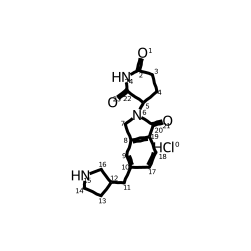 Cl.O=C1CCC(N2Cc3cc(CC4CCNC4)ccc3C2=O)C(=O)N1